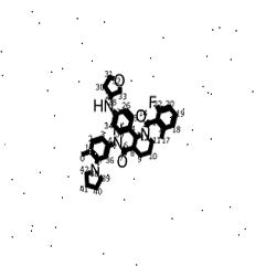 Cc1ccc(NC(=O)C2CCCN(C(=O)c3c(C)cccc3F)C2c2c#cc(NC3CCOC3)cc2)cc1N1CCCC1